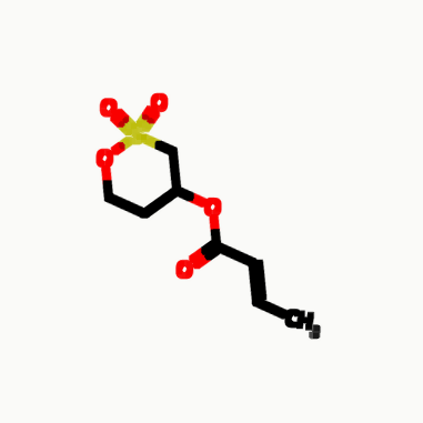 CC=CC(=O)OC1CCOS(=O)(=O)C1